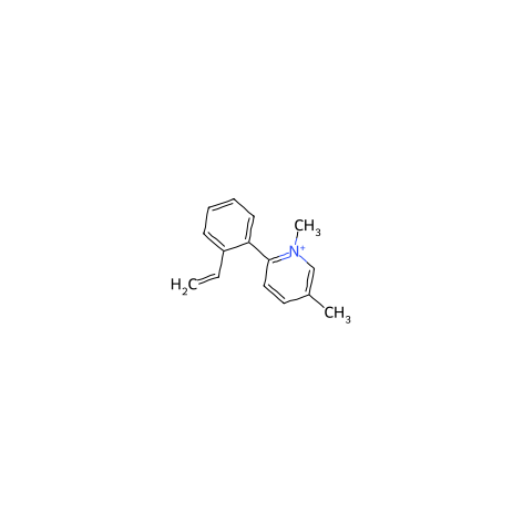 C=Cc1ccccc1-c1ccc(C)c[n+]1C